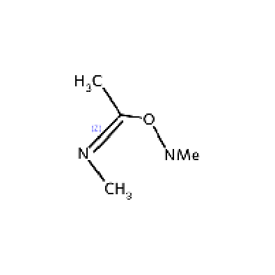 C/N=C(/C)ONC